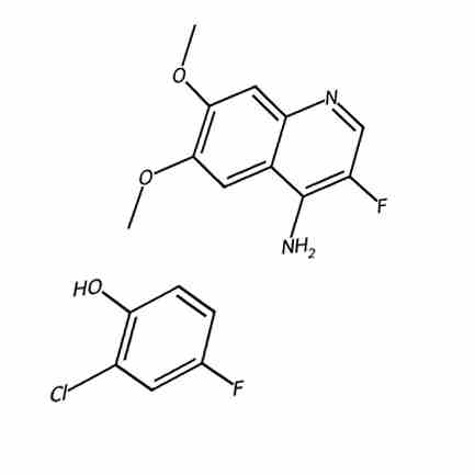 COc1cc2ncc(F)c(N)c2cc1OC.Oc1ccc(F)cc1Cl